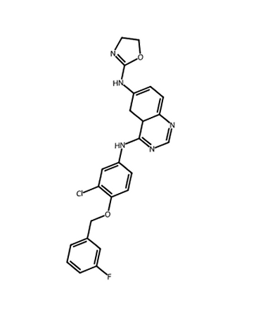 Fc1cccc(COc2ccc(NC3=NC=NC4=CC=C(NC5=NCCO5)CC43)cc2Cl)c1